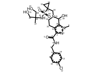 Cn1nc(C(=O)NCc2ccc(Cl)cc2)c2c1C(O)N(CC1(S(=O)(=O)NC(C)(CO)CO)CC1)CC2